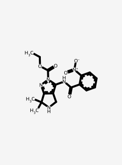 CCOC(=O)n1nc2c(c1NC(=O)c1ccccc1[N+](=O)[O-])CNC2(C)C